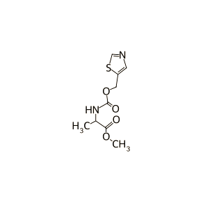 COC(=O)C(C)NC(=O)OCc1cncs1